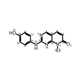 CCn1c(=O)ccc2cnc(Nc3ccc(O)cc3)nc21